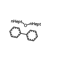 CCCCCCCOCCCCCCC.c1ccc(-c2ccccc2)cc1